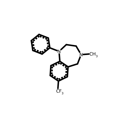 CN1CCN(c2ccccc2)c2ccc(C(F)(F)F)cc2C1